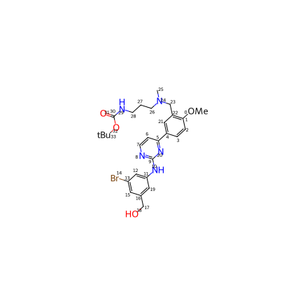 COc1ccc(-c2ccnc(Nc3cc(Br)cc(CO)c3)n2)cc1CN(C)CCCNC(=O)OC(C)(C)C